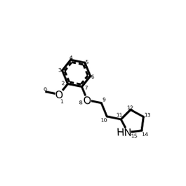 COc1ccccc1OCCC1CCCN1